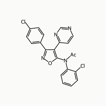 CC(=O)N(c1ccccc1Cl)c1onc(-c2ccc(Cl)cc2)c1-c1ccncn1